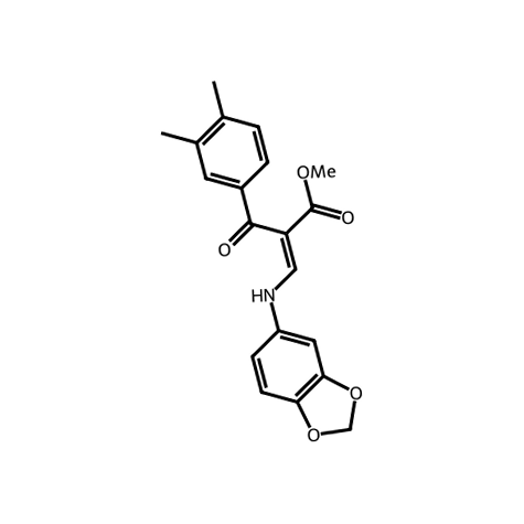 COC(=O)C(=CNc1ccc2c(c1)OCO2)C(=O)c1ccc(C)c(C)c1